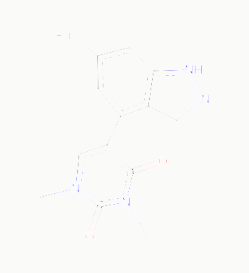 Cn1cc(-c2cc(C(F)(F)F)cc3[nH]ncc23)c(=O)n(C)c1=O